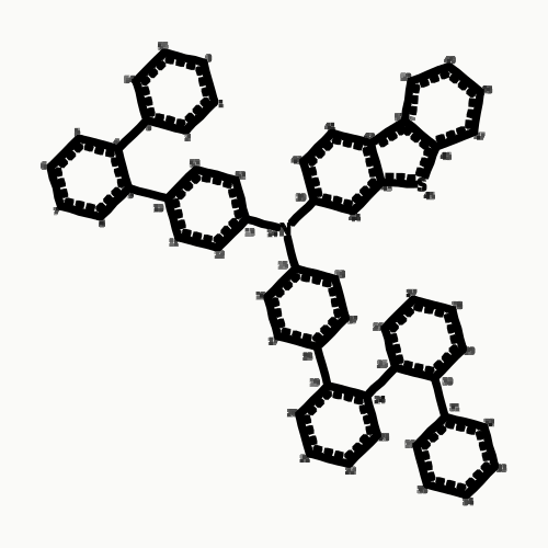 c1ccc(-c2ccccc2-c2ccc(N(c3ccc(-c4ccccc4-c4ccccc4-c4ccccc4)cc3)c3ccc4c(c3)sc3ccccc34)cc2)cc1